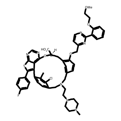 COCCOc1ccccc1-c1nccc(COc2ccc3cc2C[C@H](C(=O)O)Oc2ncnc4sc(-c5ccc(F)cc5)c(c24)-c2ccc(c(Cl)c2C)CN(CCN2CCN(C)CC2)C3)n1